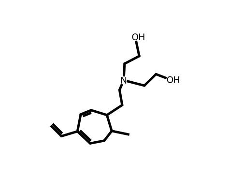 C=CC1=CCC(C)C(CCN(CCO)CCO)C=C1